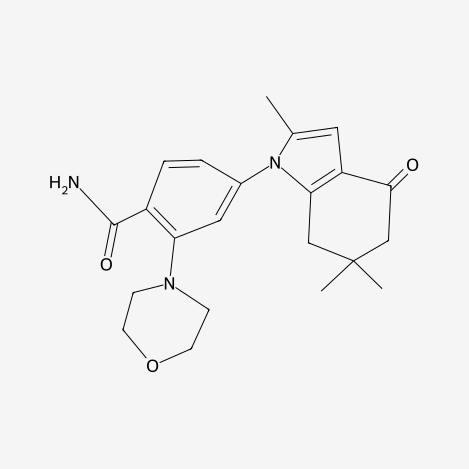 Cc1cc2c(n1-c1ccc(C(N)=O)c(N3CCOCC3)c1)CC(C)(C)CC2=O